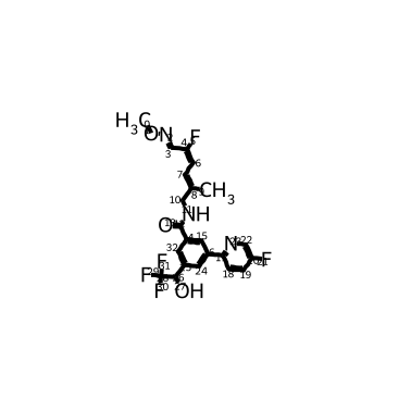 CO/N=C/C(F)=C\C=C(/C)CNC(=O)c1cc(-c2ccc(F)cn2)cc(C(O)C(F)(F)F)c1